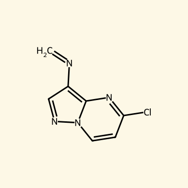 C=Nc1cnn2ccc(Cl)nc12